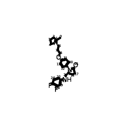 CC1CCCN1CCCOc1ccc(N2C(=O)CC[C@H]2CNc2ccc(F)c(F)c2)cc1